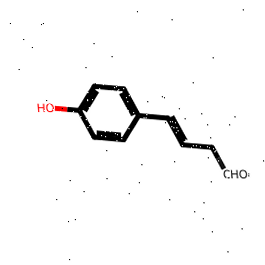 O=[C]CC=Cc1ccc(O)cc1